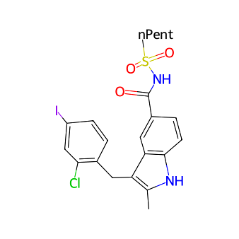 CCCCCS(=O)(=O)NC(=O)c1ccc2[nH]c(C)c(Cc3ccc(I)cc3Cl)c2c1